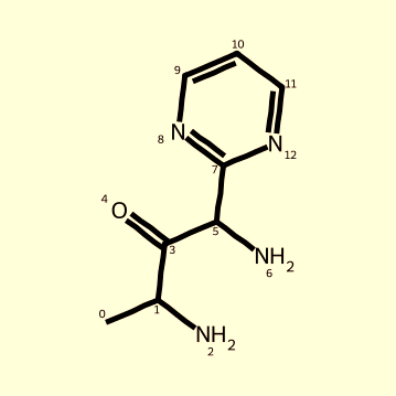 CC(N)C(=O)C(N)c1ncccn1